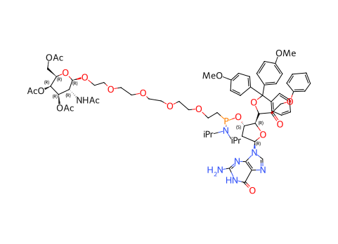 COc1ccc(C(OC(C(=O)COc2ccccc2)[C@H]2O[C@@H](n3cnc4c(=O)[nH]c(N)nc43)C[C@@H]2OP(CCOCCOCCOCCOCCO[C@@H]2O[C@H](COC(C)=O)[C@H](OC(C)=O)[C@H](OC(C)=O)[C@H]2NC(C)=O)N(C(C)C)C(C)C)(c2ccccc2)c2ccc(OC)cc2)cc1